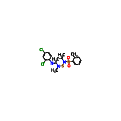 Cc1ccccc1S(=O)(=O)N(SN(C)C=Nc1ccc(Cl)cc1Cl)C(C)C